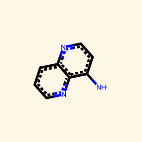 [NH]c1ccnc2cccnc12